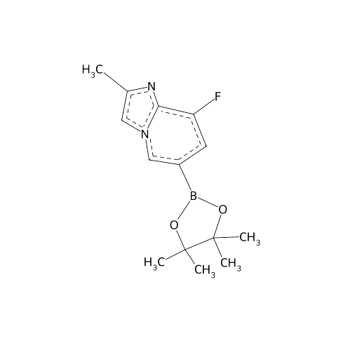 Cc1cn2cc(B3OC(C)(C)C(C)(C)O3)cc(F)c2n1